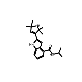 CC(C)NC(=O)c1cccc2[nH]c(C3=CC(C)(C)NC3(C)C)nc12